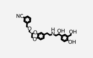 N#Cc1cccc(COC[C@@H]2COc3ccc(CCNC[C@H](O)c4ccc(O)c(CO)c4)cc3O2)c1